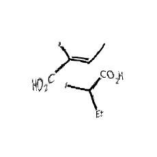 CC=C(I)C(=O)O.CCC(I)C(=O)O